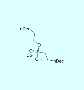 CCCCCCCCCCCCOP(=O)(O)CCCCCCCCCCCC.[Co]